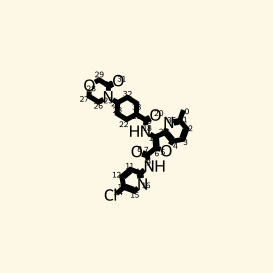 Cc1ccc2oc(C(=O)Nc3ccc(Cl)cn3)c(NC(=O)C3CCC(N4CCOCC4=O)CC3)c2n1